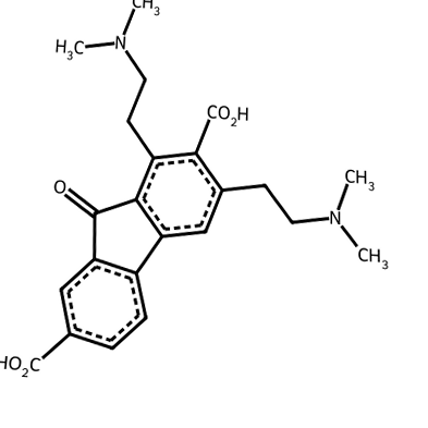 CN(C)CCc1cc2c(c(CCN(C)C)c1C(=O)O)C(=O)c1cc(C(=O)O)ccc1-2